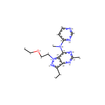 CCOCCn1nc(CC)c2nc(C)nc(N(C)c3ccncn3)c21